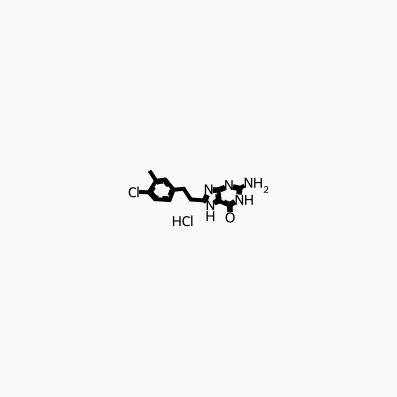 Cc1cc(CCc2nc3nc(N)[nH]c(=O)c3[nH]2)ccc1Cl.Cl